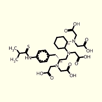 CC(C)C(=S)Nc1ccc(C[C@H](CN(CC(=O)O)C2CCCC[C@@H]2N(CC(=O)O)CC(=O)O)N(CC(=O)O)CC(=O)O)cc1